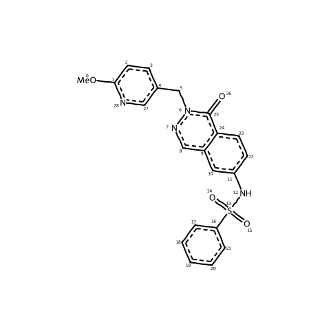 COc1ccc(Cn2ncc3cc(NS(=O)(=O)c4ccccc4)ccc3c2=O)cn1